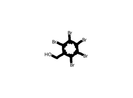 OCc1c(Br)c(Br)c(Br)c(Br)c1Br